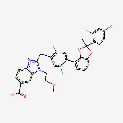 COCCn1c(Cc2cc(F)c(-c3cccc4c3OC(C)(c3ccc(Cl)cc3F)O4)cc2F)nc2ccc(C(=O)O)cc21